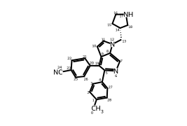 Cc1ccc(-c2ncc3c(ccn3C[C@@H]3CCNC3)c2-c2ccc(C#N)cc2)cc1